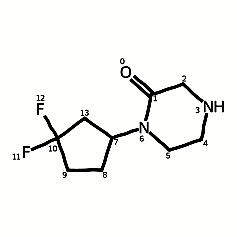 O=C1CNCCN1C1CCC(F)(F)C1